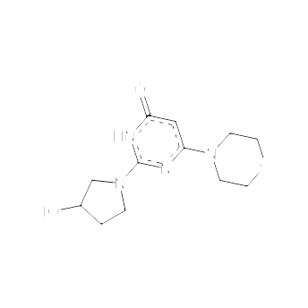 O=c1cc(N2CCOCC2)nc(N2CCC(O)C2)[nH]1